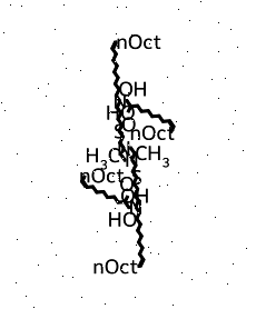 CCCCCCCC/C=C\CCCCCCC(O)CN(CCCC(=O)SCCN1CC(C)N(CCSC(=O)CCCN(CC(O)CCCCCC/C=C\CCCCCCCC)CC(O)CCCCCC/C=C\CCCCCCCC)CC1C)CC(O)CCCCCC/C=C\CCCCCCCC